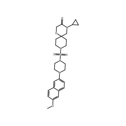 COc1ccc2cc(N3CCN(S(=O)(=O)N4CCC5(CC4)CN(C4CC4)C(=O)CO5)CC3)ccc2c1